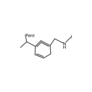 CCCC(C)C(C)C1=C=C(CNI)CC=C1